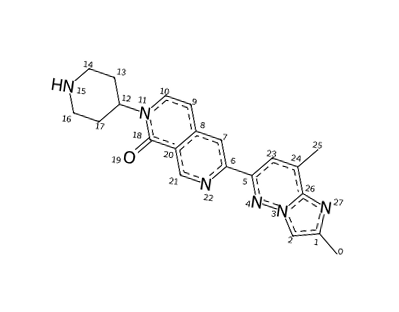 Cc1cn2nc(-c3cc4ccn(C5CCNCC5)c(=O)c4cn3)cc(C)c2n1